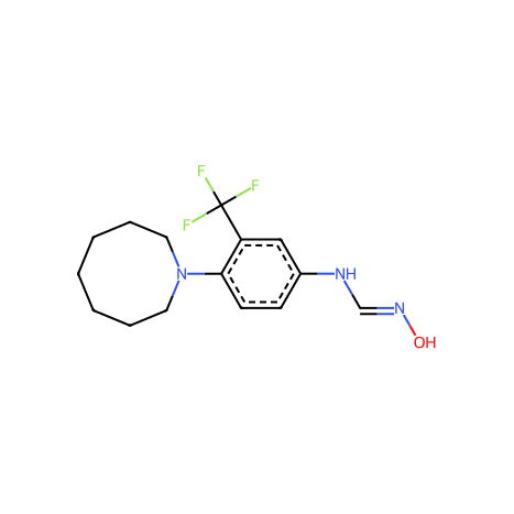 O/N=C/Nc1ccc(N2CCCCCCC2)c(C(F)(F)F)c1